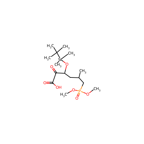 COP(=O)(CC(C)CC(O[Si](C)(C)C(C)(C)C)C(=O)C(=O)O)OC